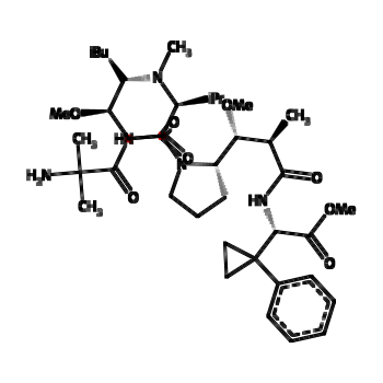 CC[C@H](C)[C@@H]([C@@H](CC(=O)N1CCC[C@H]1[C@H](OC)[C@@H](C)C(=O)N[C@H](C(=O)OC)C1(c2ccccc2)CC1)OC)N(C)[C@H](C(=O)NC(=O)C(C)(C)N)C(C)C